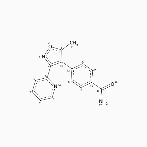 Cc1onc(-c2ccccn2)c1-c1ccc(C(N)=O)cc1